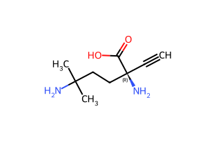 C#C[C@](N)(CCC(C)(C)N)C(=O)O